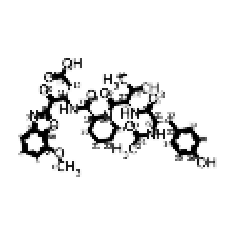 COc1cccc2nc(C(=O)[C@H](CC(=O)O)NC(=O)[C@@H]3CCCCN3C(=O)[C@@H](NC(=O)[C@H](Cc3ccc(O)cc3)NC(C)=O)C(C)C)oc12